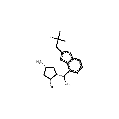 CC(c1ncnc2sc(CC(F)(F)F)cc12)[C@H]1C[C@@H](N)C[C@H]1O